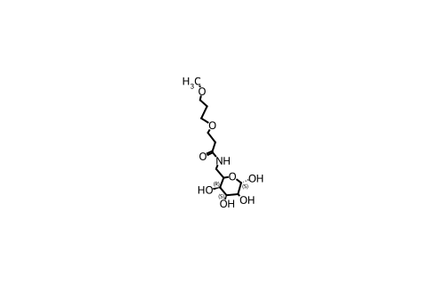 COCCCOCCC(=O)NCC1O[C@H](O)C(O)[C@@H](O)[C@H]1O